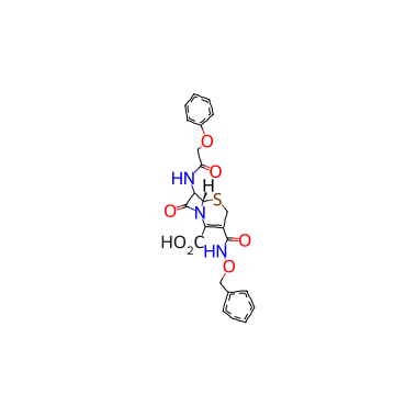 O=C(COc1ccccc1)NC1C(=O)N2C(C(=O)O)=C(C(=O)NOCc3ccccc3)CS[C@@H]12